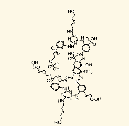 Nc1c(/N=N/c2ccc(SOOO)c(Nc3nc(NCCSCCO)nc(Nc4cccc(S(=O)(=O)CCOSOOO)c4)n3)c2)c(SOOO)cc2cc(S(=O)(=O)O)c(/N=N/c3ccc(S(=O)(=O)O)c(Nc4nc(NCCSCCO)nc(Nc5cccc(S(=O)(=O)CCOS(=O)(=O)O)c5)n4)c3)c(O)c12